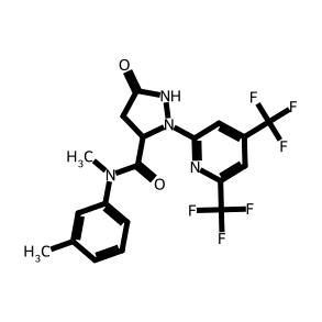 Cc1cccc(N(C)C(=O)C2CC(=O)NN2c2cc(C(F)(F)F)cc(C(F)(F)F)n2)c1